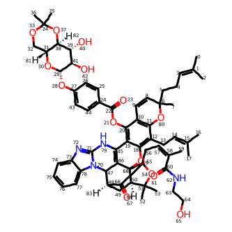 CC(C)=CCCC1(C)C=Cc2c(c(CC=C(C)C)c3c(c2OC(=O)c2ccc(O[C@@H]4O[C@@H]5COC(C)(C)O[C@H]5[C@H](O)[C@H]4O)cc2)C2=C4C([C@@H]5C[C@@H]6C(C)(C)OC(C/C=C(/C)C(=O)NCCO)(C5=O)C46O3)n3c(nc4ccccc43)N2)O1